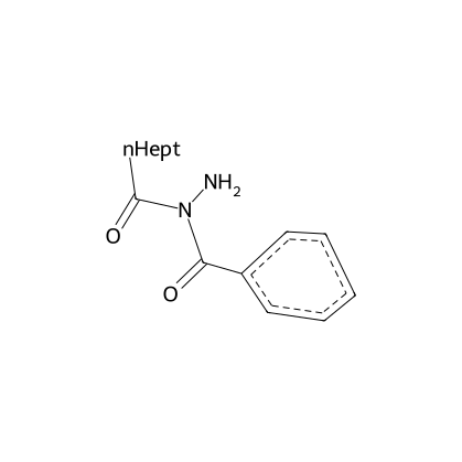 CCCCCCCC(=O)N(N)C(=O)c1ccccc1